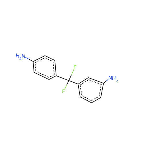 Nc1ccc(C(F)(F)c2cccc(N)c2)cc1